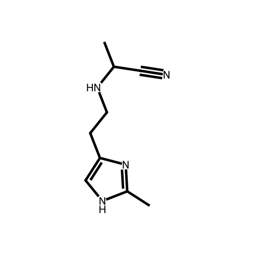 Cc1nc(CCNC(C)C#N)c[nH]1